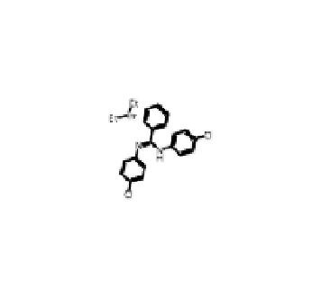 C[CH2][In][CH2]C.Clc1ccc(N=C(Nc2ccc(Cl)cc2)c2ccccc2)cc1